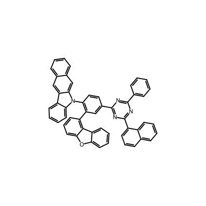 c1ccc(-c2nc(-c3ccc(-n4c5ccccc5c5cc6ccccc6cc54)c(-c4cccc5oc6ccccc6c45)c3)nc(-c3cccc4ccccc34)n2)cc1